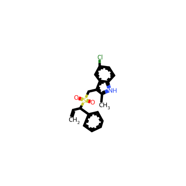 C=CC(c1ccccc1)S(=O)(=O)Cc1c(C)[nH]c2ccc(Cl)cc12